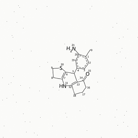 Cc1ccc(C2C3=C(CCS3)NC3=C2C(=O)CCC3)cc1N